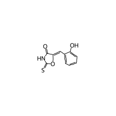 O=C1NC(=S)O/C1=C\c1ccccc1O